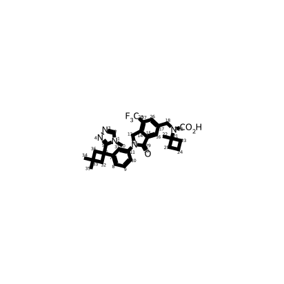 Cn1cnnc1C1(c2cccc(N3Cc4c(cc(CN(C(=O)O)C5(C)CCC5)cc4C(F)(F)F)C3=O)c2)CC(C)(C)C1